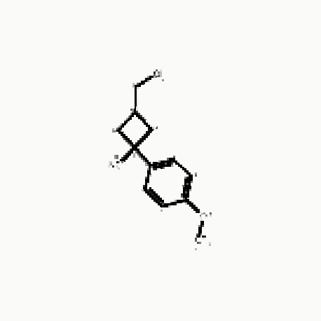 N#CC1(c2ccc(OC(F)(F)F)cc2)CC(CO)C1